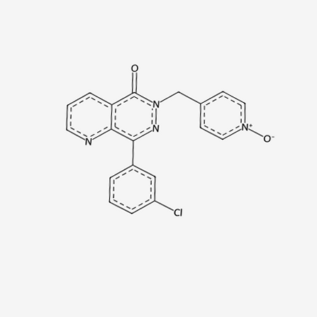 O=c1c2cccnc2c(-c2cccc(Cl)c2)nn1Cc1cc[n+]([O-])cc1